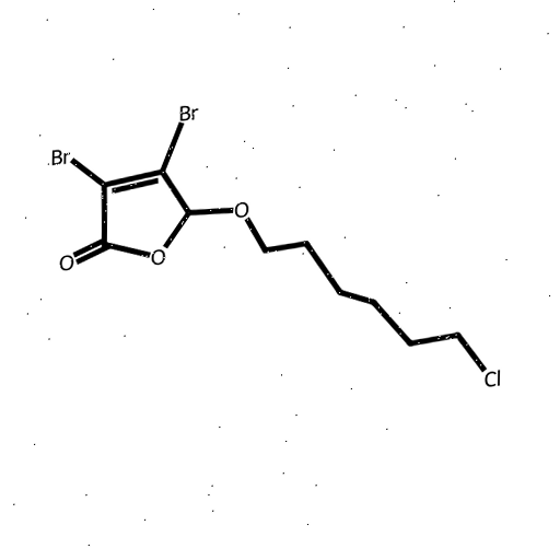 O=C1OC(OCCCCCCCl)C(Br)=C1Br